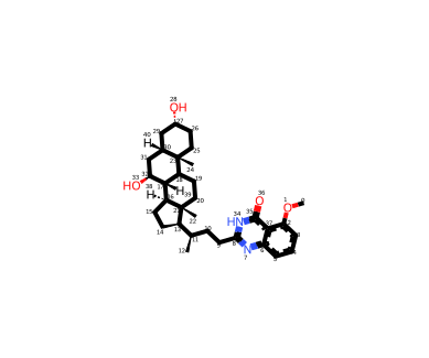 COc1cccc2nc(CC[C@@H](C)[C@H]3CC[C@H]4[C@H]5C(CC[C@]34C)[C@@]3(C)CC[C@@H](O)C[C@H]3C[C@@H]5O)[nH]c(=O)c12